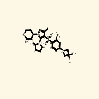 Cc1nn(C2CCOCC2)c(N2CCCC2C(=O)O)c1S(=O)(=O)c1ccc(N2CC(F)(F)C2)cc1C(F)(F)F